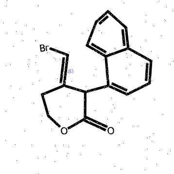 O=C1OCC/C(=C\Br)C1c1cccc2ccccc12